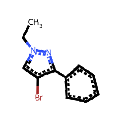 CCn1cc(Br)c(-c2ccccc2)n1